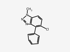 Cn1nnc2c(-c3ccccc3)c(Cl)ccc21